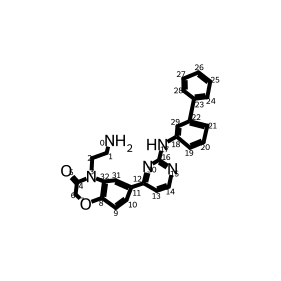 NCCN1C(=O)COc2ccc(-c3ccnc(Nc4cccc(-c5ccccc5)c4)n3)cc21